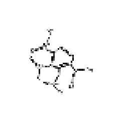 O=[N+]([O-])c1ccc(S(=O)O)c([N+](=O)[O-])c1[N+](=O)[O-]